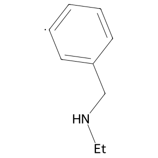 CCNCc1c[c]ccc1